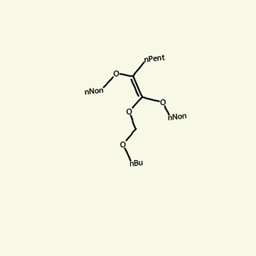 CCCCCCCCCOC(CCCCC)=C(OCCCCCCCCC)OCOCCCC